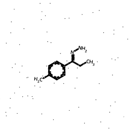 CCC(=NN)c1ccc(C)cc1